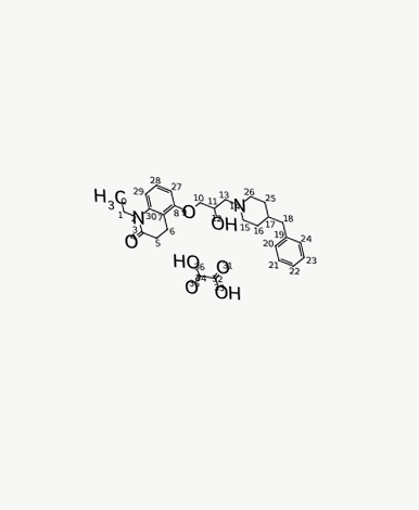 CCN1C(=O)CCc2c(OCC(O)CN3CCC(Cc4ccccc4)CC3)cccc21.O=C(O)C(=O)O